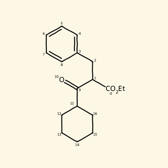 CCOC(=O)C(Cc1ccccc1)C(=O)C1CCCCC1